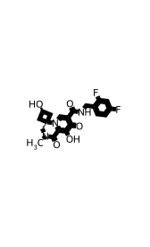 CN1C[C@]2(C[C@H](O)C2)n2cc(C(=O)NCc3ccc(F)cc3F)c(=O)c(O)c2C1=O